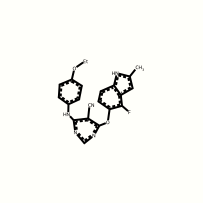 CCOc1ccc(Nc2ncnc(Oc3ccc4[nH]c(C)cc4c3F)c2C#N)cc1